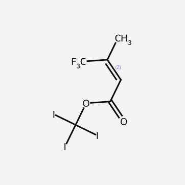 C/C(=C/C(=O)OC(I)(I)I)C(F)(F)F